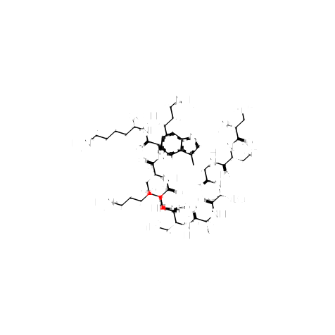 CC[C@H](C)[C@H](NC(=O)[C@H](Cc1c[nH]c2ccccc12)NC(=O)[C@H](CC(C)C)NC(=O)[C@@H](N)CC(C)C)C(=O)N[C@@H](C)C(=O)N[C@@H](CC(C)C)C(=O)N[C@@H](CCCCN)C(=O)N[C@@H](CCCCN)C(=O)N[C@@H](CCCCN)C(=O)N[C@@H](CCCCN)C(=O)O